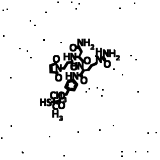 CC(C)(S)C(=O)OCc1ccc(NC(=O)[C@H](CCCNC(N)=O)NC(=O)[C@H](CC(N)=O)NC(=O)CCN2C(=O)C=CC2=O)cc1